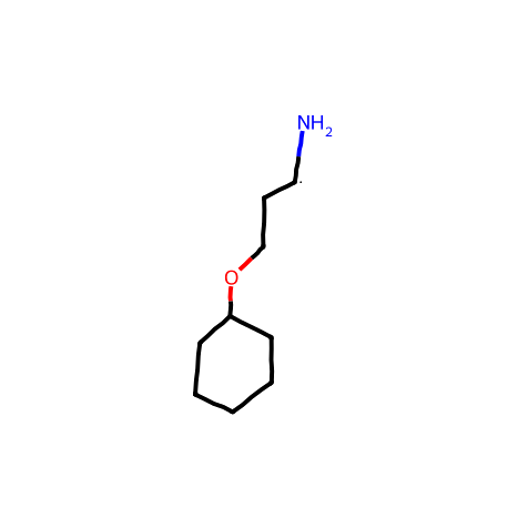 N[CH]CCOC1CCCCC1